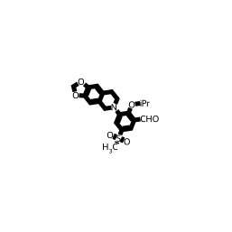 CC(C)Oc1c(C=O)cc(S(C)(=O)=O)cc1N1CCc2cc3c(cc2C1)OCO3